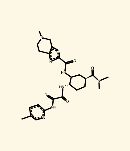 Cc1ccc(NC(=O)C(=O)N[C@H]2CC[C@H](C(=O)N(C)C)CC2NC(=O)c2nc3c(s2)CN(C)CC3)nc1